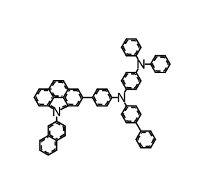 c1ccc(-c2ccc(N(c3ccc(-c4cc5ccc6cccc7c6c5c(c4)n7-c4ccc5ccccc5c4)cc3)c3ccc(N(c4ccccc4)c4ccccc4)cc3)cc2)cc1